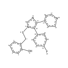 Oc1ccccc1CSn1cnc(-c2ccncc2)c1-c1ccc(F)cc1